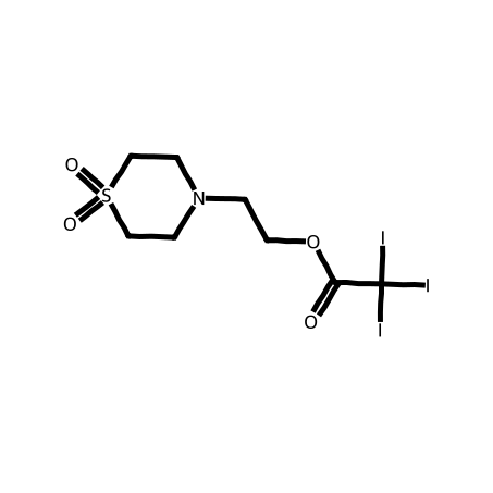 O=C(OCCN1CCS(=O)(=O)CC1)C(I)(I)I